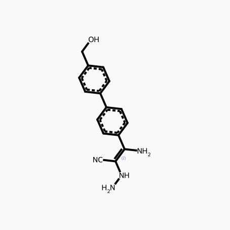 N#C/C(NN)=C(/N)c1ccc(-c2ccc(CO)cc2)cc1